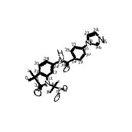 CC1(C)C(=O)N(C(C)(C)P(=O)=O)c2cc(NC(=O)c3ccc(-n4ccnc4)cc3)ccc21